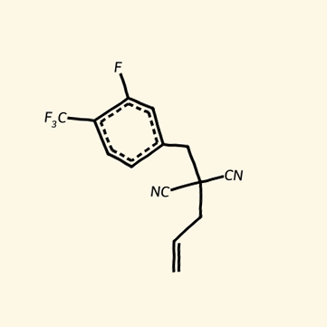 C=CCC(C#N)(C#N)Cc1ccc(C(F)(F)F)c(F)c1